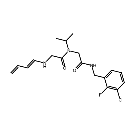 C=C/C=C/NCC(=O)N(CC(=O)NCc1cccc(Cl)c1F)C(C)C